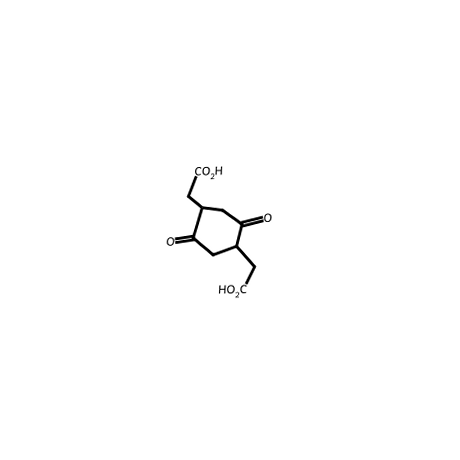 O=C(O)CC1CC(=O)C(CC(=O)O)CC1=O